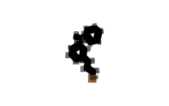 C[SiH](c1ccccc1)c1cccc(CCCBr)c1